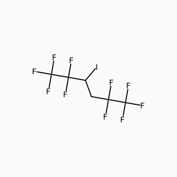 FC(F)(F)C(F)(F)CC(I)C(F)(F)C(F)(F)F